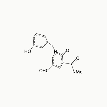 CNC(=O)c1cc(C=O)cn(Cc2cccc(O)c2)c1=O